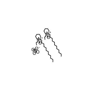 CCCCCCCCCCCC[N+]12CCCCC1P2(=O)CC.CCCCCCCCCCCC[N+]12CCCCC1P2(=O)CC.O=S(=O)([O-])[O-]